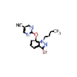 N#Cc1cnc(Oc2cccc3c(Br)nn(CCCC(F)(F)F)c23)nc1